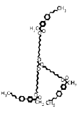 C=C(C(=O)OCCCCCCCCCCOCC(COCCCCCCCCCCOC(=O)C(=C)c1ccc([C@H]2CC[C@H](CCCCC)CC2)cc1)OCCCCCCCCCCOC(=O)C(=C)c1ccc([C@H]2CC[C@H](CCCCC)CC2)cc1)c1ccc([C@H]2CC[C@H](CCCCC)CC2)cc1